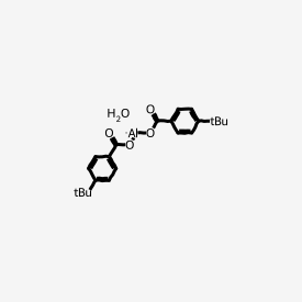 CC(C)(C)c1ccc(C(=O)[O][Al][O]C(=O)c2ccc(C(C)(C)C)cc2)cc1.O